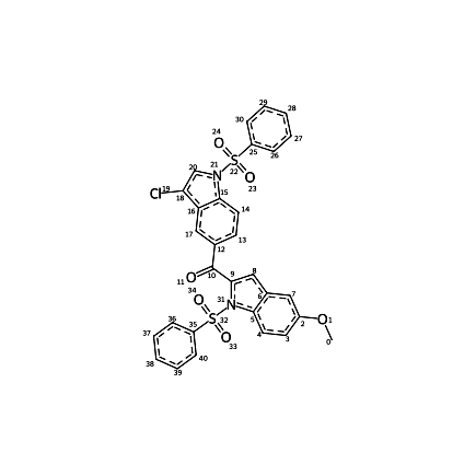 COc1ccc2c(c1)cc(C(=O)c1ccc3c(c1)c(Cl)cn3S(=O)(=O)c1ccccc1)n2S(=O)(=O)c1ccccc1